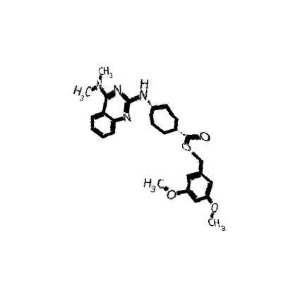 COc1cc(COC(=O)[C@H]2CC[C@@H](Nc3nc(N(C)C)c4ccccc4n3)CC2)cc(OC)c1